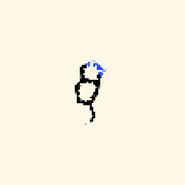 C[C](C)Cc1ccc2cn[nH]c2c1